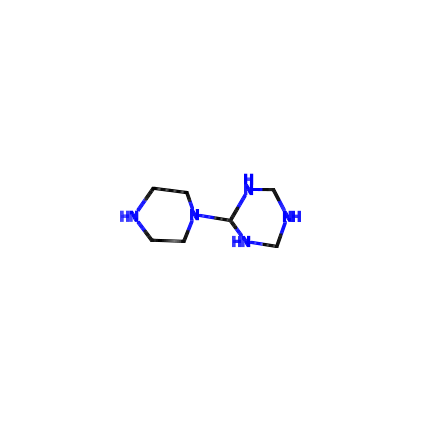 C1CN(C2NCNCN2)CCN1